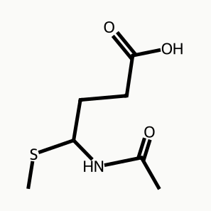 CSC(CCC(=O)O)NC(C)=O